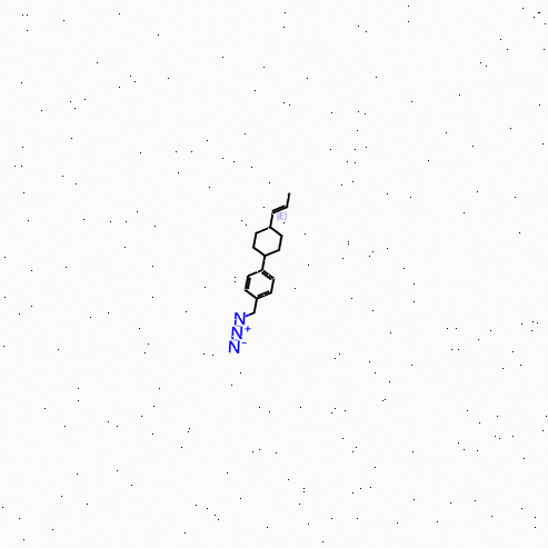 C/C=C/C1CCC(c2ccc(CN=[N+]=[N-])cc2)CC1